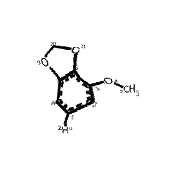 [2H]c1cc(OC)c2c(c1)OCO2